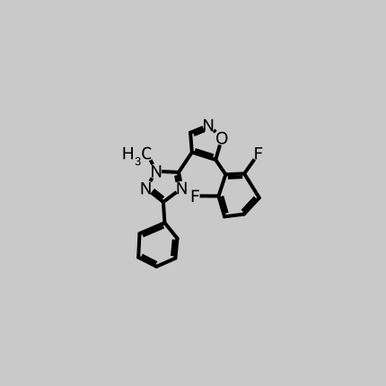 Cn1nc(-c2ccccc2)nc1-c1cnoc1-c1c(F)cccc1F